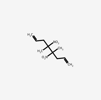 C=CCC(C)([N+](=O)[O-])C(C)(CC=C)[N+](=O)[O-]